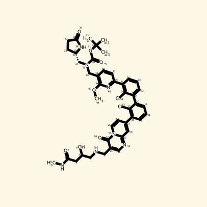 CNC(=O)CC(O)CNCc1cnc2cc(-c3cccc(-c4cccc(-c5ccc(CN(C[C@@H]6CCC(=O)N6)C(=O)OC(C)(C)C)c(OC)n5)c4Cl)c3Cl)ccn2c1=O